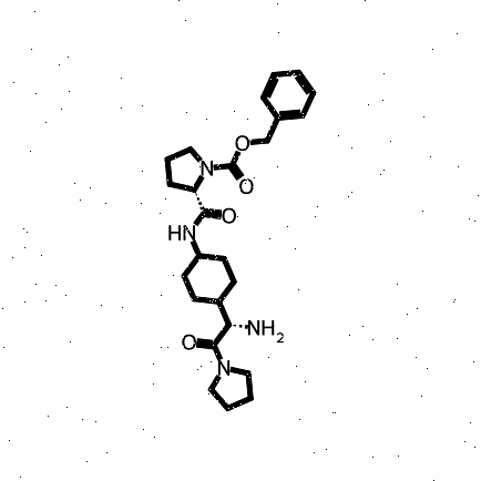 N[C@H](C(=O)N1CCCC1)C1CCC(NC(=O)[C@@H]2CCCN2C(=O)OCc2ccccc2)CC1